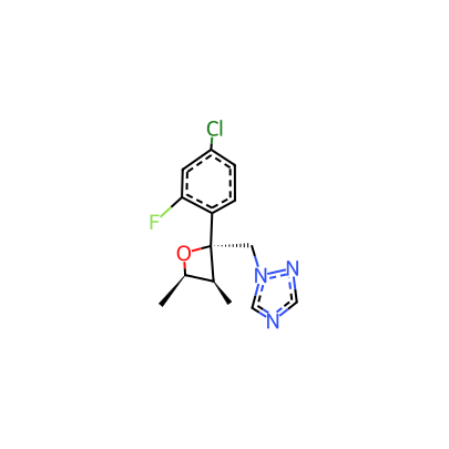 C[C@H]1O[C@@](Cn2cncn2)(c2ccc(Cl)cc2F)[C@H]1C